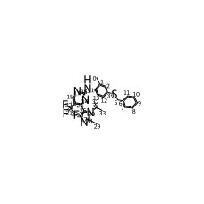 Cc1cc(SCc2ccccc2)ccc1Nc1ncc(C(F)(F)F)c(-c2cnc(C)n2C(C)C)n1